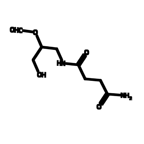 NC(=O)CCC(=O)NCC(CO)OC=O